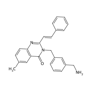 Cc1ccc2nc(C=Cc3ccccc3)n(Cc3cccc(CN)c3)c(=O)c2c1